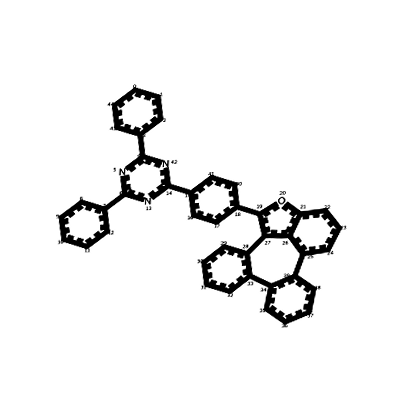 c1ccc(-c2nc(-c3ccccc3)nc(-c3ccc(-c4oc5cccc6c5c4-c4ccccc4-c4ccccc4-6)cc3)n2)cc1